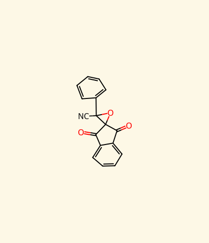 N#CC1(c2ccccc2)OC12C(=O)c1ccccc1C2=O